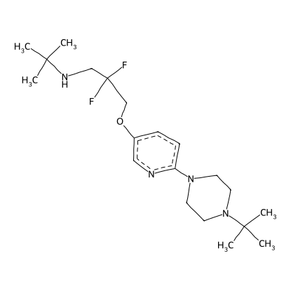 CC(C)(C)NCC(F)(F)COc1ccc(N2CCN(C(C)(C)C)CC2)nc1